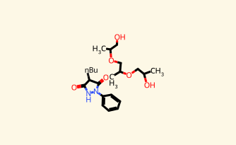 CC(O)COC(C)COC(C)CO.CCCCC1C(=O)NN(c2ccccc2)C1=O